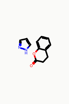 O=C1CCc2ccccc2O1.c1cn[nH]c1